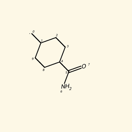 [CH2]C1CCC(C(N)=O)CC1